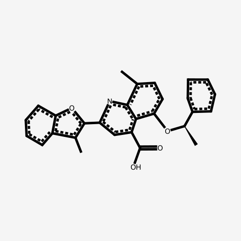 Cc1c(-c2cc(C(=O)O)c3c(O[C@H](C)c4ccccc4)ccc(C)c3n2)oc2ccccc12